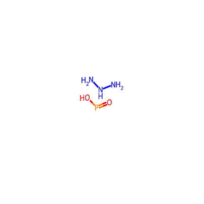 NNN.O=PO